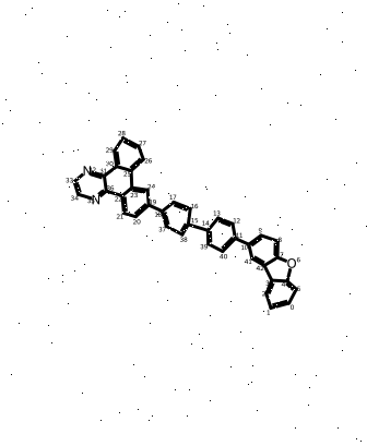 c1ccc2c(c1)oc1ccc(-c3ccc(-c4ccc(-c5ccc6c(c5)c5ccccc5c5nccnc65)cc4)cc3)cc12